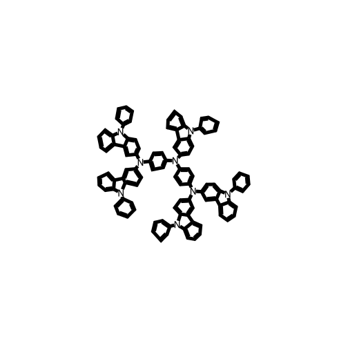 c1ccc(-n2c3ccccc3c3cc(N(c4ccc(N(c5ccc6c(c5)c5ccccc5n6-c5ccccc5)c5ccc6c(c5)c5ccccc5n6-c5ccccc5)cc4)c4ccc(N(c5ccc6c(c5)c5ccccc5n6-c5ccccc5)c5ccc6c(c5)c5ccccc5n6-c5ccccc5)cc4)ccc32)cc1